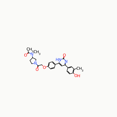 CC(=O)N(C)C1CCN(C(=O)COc2ccc(-c3cc(-c4ccc(O)c(C)c4)nc(=O)[nH]3)cc2)C1